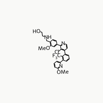 COc1cccc(-c2cccc(-c3ccnc(-c4ccc(CNCCO)c(OC)c4)c3Cl)c2C(F)(F)F)n1